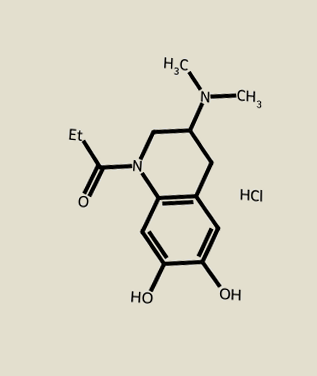 CCC(=O)N1CC(N(C)C)Cc2cc(O)c(O)cc21.Cl